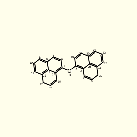 C1=Cc2c(Oc3ccc4cccc5c4c3C=CC5)ccc3cccc(c23)C1